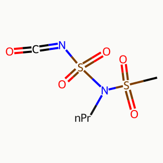 CCCN(S(C)(=O)=O)S(=O)(=O)N=C=O